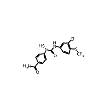 NC(=O)c1ccc(N(S)C(=O)Nc2ccc(SC(F)(F)F)c(Cl)c2)cc1